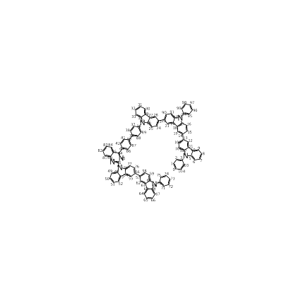 c1ccc(-n2c3ccccc3c3cc(-c4ccc5c(c4)c4cc(-c6ccc7c(c6)c6ccccc6n7-c6ccc(-c7ccc(-c8nc(-n9c%10ccccc%10c%10cc(-c%11ccc%12c(c%11)c%11ccccc%11n%12-c%11ccccc%11)ccc%109)nc9ccccc89)cc7)cc6)ccc4n5-c4ccccc4)ccc32)cc1